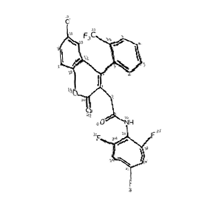 O=C(Cc1c(-c2ccccc2C(F)(F)F)c2cc(Cl)ccc2oc1=O)Nc1c(F)cc(F)cc1F